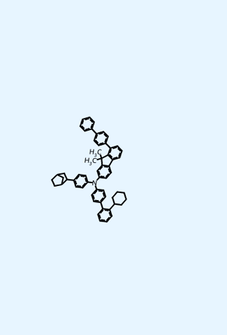 CC1(C)c2cc(N(c3ccc(-c4ccccc4C4CCCCC4)cc3)c3ccc(C4CC5CCC4C5)cc3)ccc2-c2cccc(-c3ccc(-c4ccccc4)cc3)c21